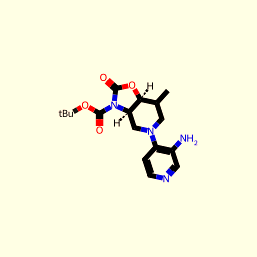 CC1CN(c2ccncc2N)C[C@@H]2[C@H]1OC(=O)N2C(=O)OC(C)(C)C